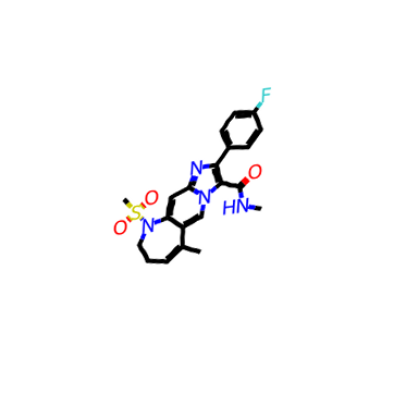 CNC(=O)c1c(-c2ccc(F)cc2)nc2cc3c(cn12)C(C)=CCCN3S(C)(=O)=O